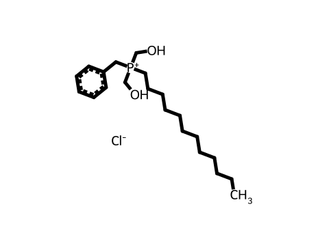 CCCCCCCCCCCC[P+](CO)(CO)Cc1ccccc1.[Cl-]